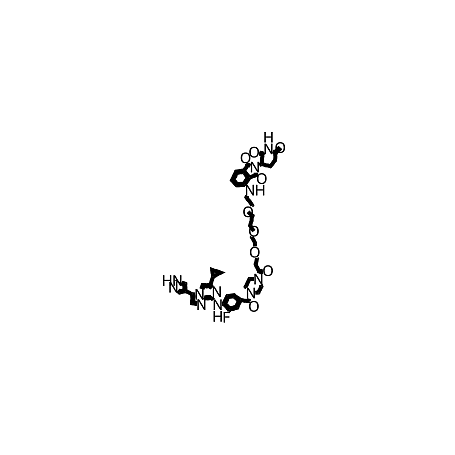 O=C1CCC(N2C(=O)c3cccc(NCCOCCOCCOCCC(=O)N4CCN(C(=O)c5ccc(Nc6nc(C7CC7)cn7c(-c8cn[nH]c8)cnc67)c(F)c5)CC4)c3C2=O)C(=O)N1